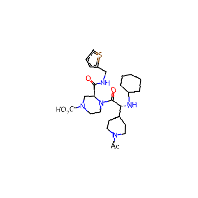 CC(=O)N1CCC([C@@H](NC2CCCCC2)C(=O)N2CCN(C(=O)O)C[C@H]2C(=O)NCc2cccs2)CC1